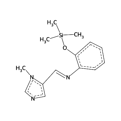 Cn1cncc1C=Nc1ccccc1O[Si](C)(C)C